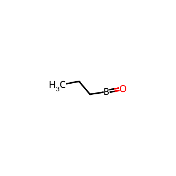 CCCB=O